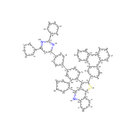 c1ccc(-c2cc(-c3ccc(-c4ccc(-c5c(-c6ccc7c8ccccc8c8ccccc8c7c6)sc6c5c(-c5ccccc5)nc5ccccc56)cc4)cc3)nc(-c3ccccc3)n2)cc1